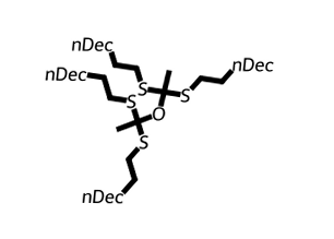 CCCCCCCCCCCCSC(C)(OC(C)(SCCCCCCCCCCCC)SCCCCCCCCCCCC)SCCCCCCCCCCCC